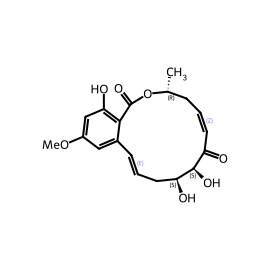 COc1cc(O)c2c(c1)/C=C/C[C@H](O)[C@H](O)C(=O)/C=C\C[C@@H](C)OC2=O